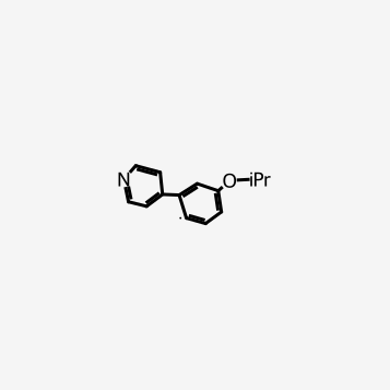 CC(C)Oc1cc[c]c(-c2ccncc2)c1